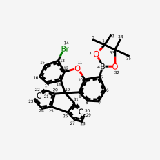 CC1(C)OB(c2cccc3c2Oc2c(Br)cccc2C32c3ccccc3-c3ccccc32)OC1(C)C